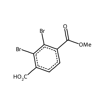 COC(=O)c1ccc(C(=O)O)c(Br)c1Br